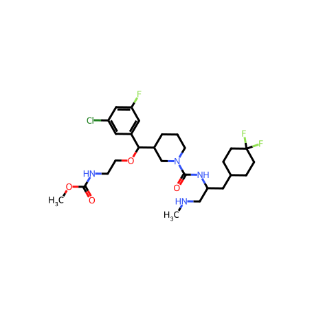 CNCC(CC1CCC(F)(F)CC1)NC(=O)N1CCCC(C(OCCNC(=O)OC)c2cc(F)cc(Cl)c2)C1